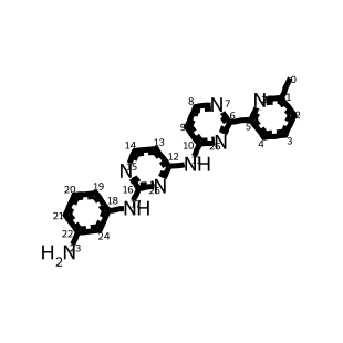 Cc1cccc(-c2nccc(Nc3ccnc(Nc4cccc(N)c4)n3)n2)n1